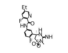 CCc1cnc(C(=O)Nc2ccc(F)c([C@]3(C)CS(=O)(=O)N(C)C(=N)N3)c2)c(F)c1